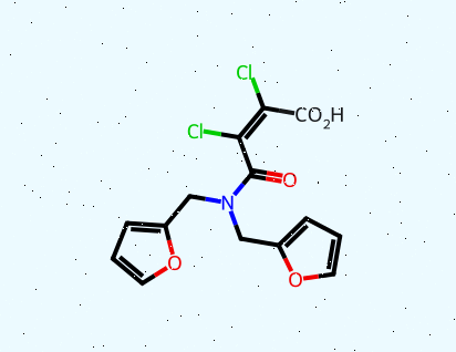 O=C(O)/C(Cl)=C(/Cl)C(=O)N(Cc1ccco1)Cc1ccco1